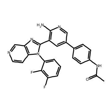 CC(=O)Nc1ccc(-c2cnc(N)c(-c3nc4cnccc4n3-c3cccc(F)c3F)c2)cc1